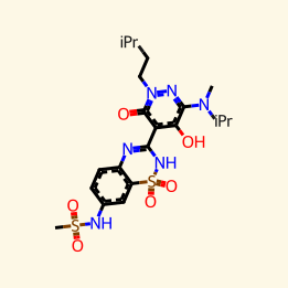 CC(C)CCn1nc(N(C)C(C)C)c(O)c(C2=Nc3ccc(NS(C)(=O)=O)cc3S(=O)(=O)N2)c1=O